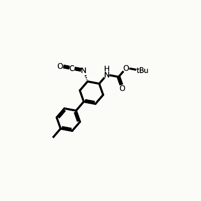 Cc1ccc(C2=CCC(NC(=O)OC(C)(C)C)[C@@H](N=C=O)C2)cc1